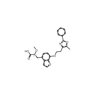 CO[C@@H](Cc1ccc(OCCc2nc(-c3ccccc3)oc2C)c2sccc12)C(=O)O